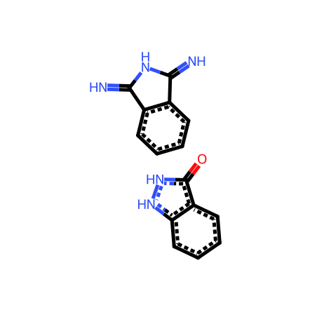 N=C1NC(=N)c2ccccc21.O=c1[nH][nH]c2ccccc12